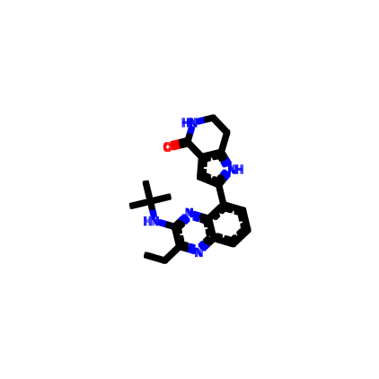 CCc1nc2cccc(-c3cc4c([nH]3)CCNC4=O)c2nc1NC(C)(C)C